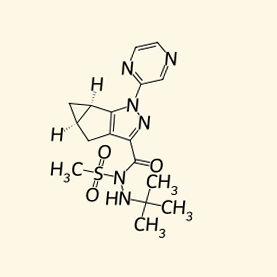 CC(C)(C)NN(C(=O)c1nn(-c2cnccn2)c2c1C[C@H]1C[C@@H]21)S(C)(=O)=O